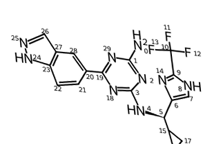 Nc1nc(N[C@@H](c2c[nH]c(C(F)(F)F)n2)C2CC2)nc(-c2ccc3[nH]ncc3c2)n1